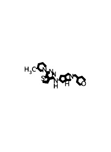 C[C@H]1CCCN(c2nnc(N[C@@H]3CC4CN(CC5CCOCC5)C[C@H]4C3)c3ccsc23)C1